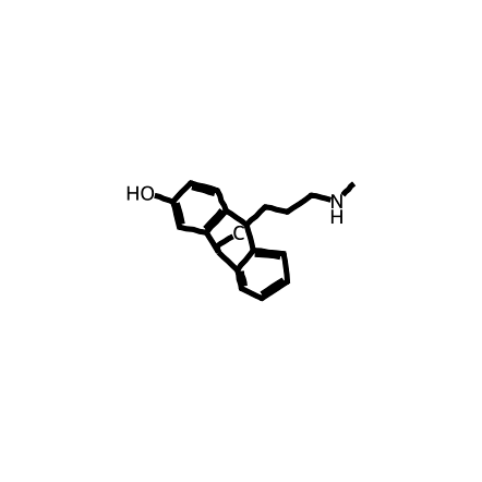 CNCCCC12CCC(c3ccccc31)c1cc(O)ccc12